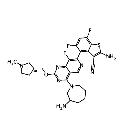 CN1CC[C@@H](COc2nc(N3CCCCC(N)C3)c3cnc(-c4c(F)cc(F)c5sc(N)c(C#N)c45)c(F)c3n2)C1